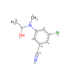 CC(O)N(C)c1cc(Br)cc(C#N)c1